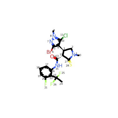 CN1C[C@H](c2c(Br)nn(C)c2Cl)[C@@H](C(=O)Nc2cccc(F)c2C(C)(F)F)C1=S